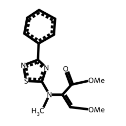 COC=C(C(=O)OC)N(C)c1nc(-c2ccccc2)ns1